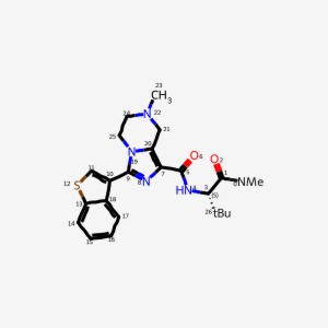 CNC(=O)[C@@H](NC(=O)c1nc(-c2csc3ccccc23)n2c1CN(C)CC2)C(C)(C)C